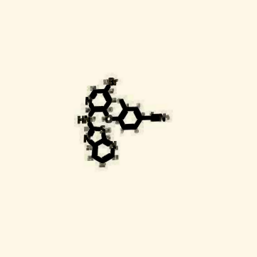 Cc1cc(C#N)ccc1Oc1cc(Br)cnc1Nc1nc2cccnc2s1